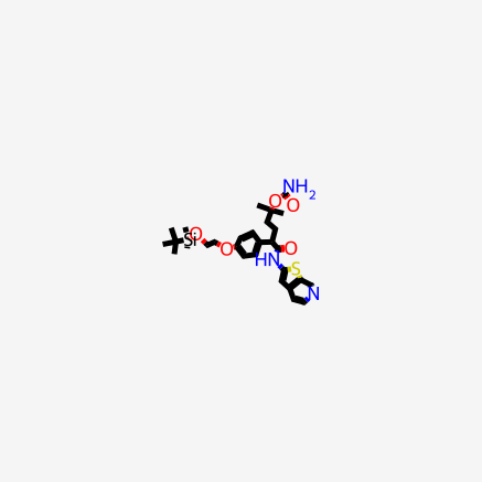 CC(C)(CCC(C(=O)Nc1cc2ccncc2s1)c1ccc(OCCO[Si](C)(C)C(C)(C)C)cc1)OC(N)=O